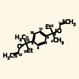 C=COC(C)(CC)c1ccc(C(C)(CC)OC=C)cc1